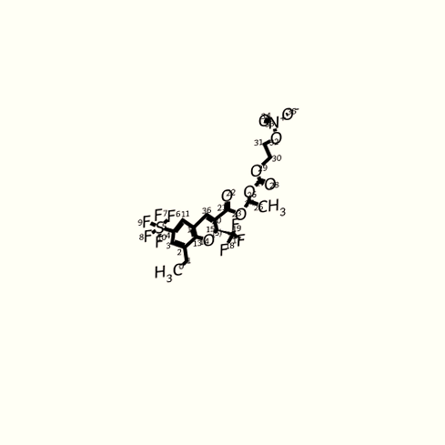 CCc1cc(S(F)(F)(F)(F)F)cc2c1O[C@H](C(F)(F)F)C(C(=O)OC(C)OC(=O)OCCO[N+](=O)[O-])=C2